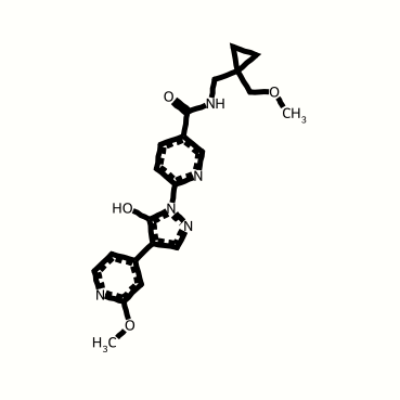 COCC1(CNC(=O)c2ccc(-n3ncc(-c4ccnc(OC)c4)c3O)nc2)CC1